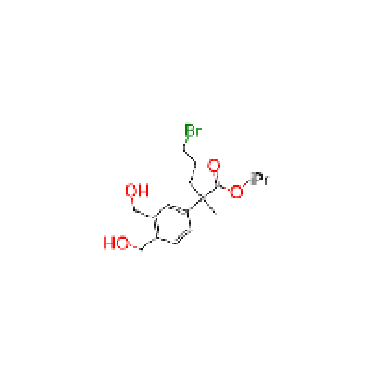 CC(C)OC(=O)C(C)(CCCBr)c1ccc(CO)c(CO)c1